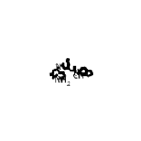 C=C/C=C(\C=C(/C)N(C)C(CC(=C)C(C)(C)N)c1cccs1)CC(=C)N(C#N)c1ccc2c(c1)CCC2